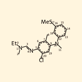 CCN(C)C=Nc1cc(C)c(N(C)c2cccc(SC)c2)cc1Cl